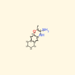 CC1=C(N)Nc2cc3c(cc2O1)CCCC3